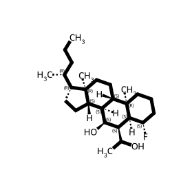 CCC[C@@H](C)[C@H]1CC[C@H]2[C@@H]3[C@H](O)[C@H](C(C)O)[C@@H]4[C@@H](F)CCC[C@]4(C)[C@H]3CC[C@]12C